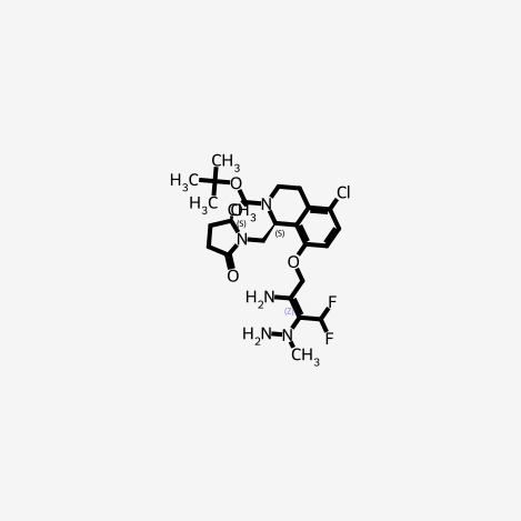 C[C@H]1CCC(=O)N1C[C@@H]1c2c(OC/C(N)=C(\C(F)F)N(C)N)ccc(Cl)c2CCN1C(=O)OC(C)(C)C